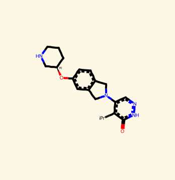 CC(C)c1c(N2Cc3ccc(O[C@@H]4CCCNC4)cc3C2)cn[nH]c1=O